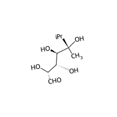 CC(C)[C@](C)(O)[C@H](O)[C@H](O)[C@@H](O)C=O